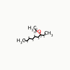 C[CH]C(CCCCCC)OCC